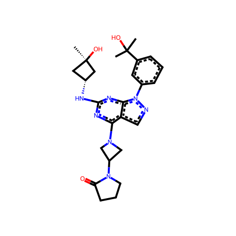 CC(C)(O)c1cccc(-n2ncc3c(N4CC(N5CCCC5=O)C4)nc(N[C@H]4C[C@](C)(O)C4)nc32)c1